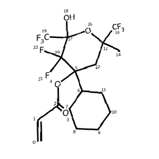 C=CC(=O)OC1(C2CCCCC2)CC(C)(C(F)(F)F)OC(O)(C(F)(F)F)C1(F)F